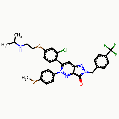 CSc1ccc(-n2nc3c(=O)n(Cc4ccc(C(F)(F)F)cc4)nc-3cc2-c2ccc(SCCNC(C)C)cc2Cl)cc1